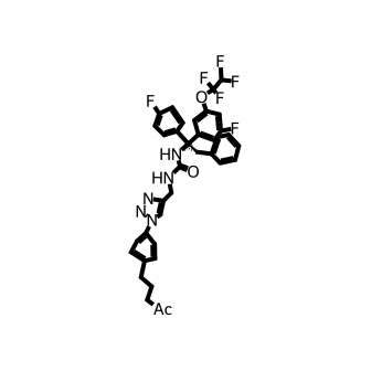 CC(=O)CCCc1ccc(-n2cc(CNC(=O)N[C@](Cc3ccccc3)(c3ccc(F)cc3)c3cc(F)cc(OC(F)(F)C(F)F)c3)nn2)cc1